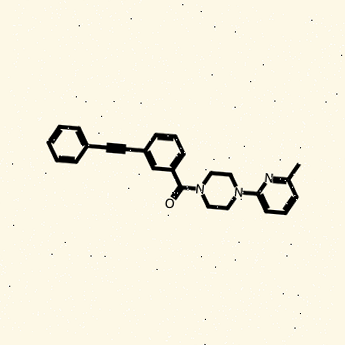 Cc1cccc(N2CCN(C(=O)c3cccc(C#Cc4ccccc4)c3)CC2)n1